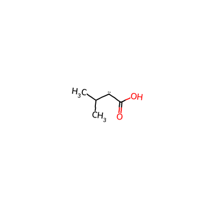 CC(C)[C]C(=O)O